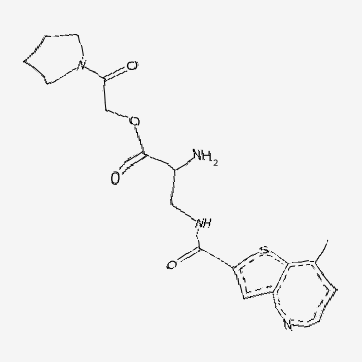 Cc1ccnc2cc(C(=O)NCC(N)C(=O)OCC(=O)N3CCCC3)sc12